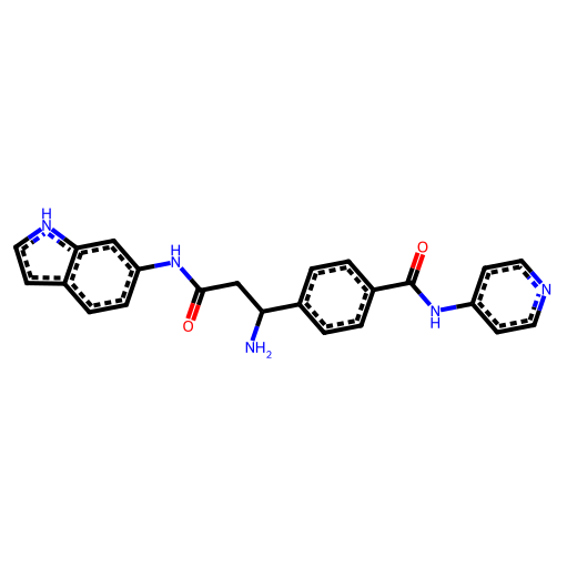 NC(CC(=O)Nc1ccc2cc[nH]c2c1)c1ccc(C(=O)Nc2ccncc2)cc1